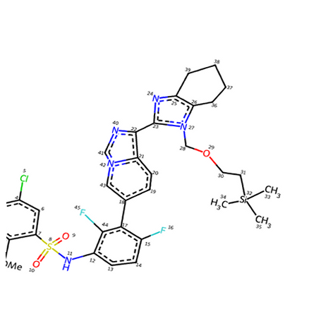 COc1ncc(Cl)cc1S(=O)(=O)Nc1ccc(F)c(-c2ccc3c(-c4nc5c(n4COCC[Si](C)(C)C)CCCC5)ncn3c2)c1F